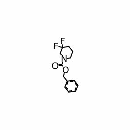 O=C(OCc1ccccc1)N1CCCC(F)(F)C1